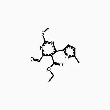 CCOC(=O)c1c(C=O)nc(SC)nc1-c1ccc(C)o1